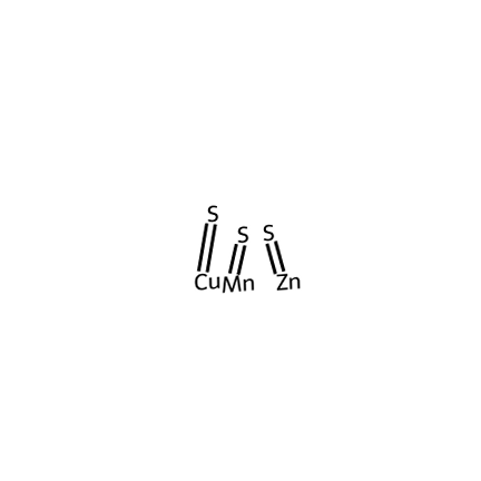 [S]=[Cu].[S]=[Mn].[S]=[Zn]